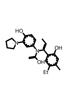 C=C(O)N(/C(=C\C)c1cc(CC)c(C)cc1O)c1ccc(O)c(N2CCCC2)c1